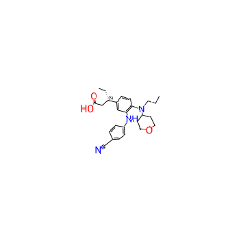 CCCN(c1ccc([C@@H](CC)CC(=O)O)cc1Nc1ccc(C#N)cc1)C1CCOCC1